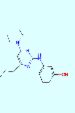 CCCc1cc(N(CC)CC)nc(Nc2cccc(O)c2)n1